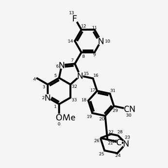 COC1=NC(C)=C2N=C(c3cncc(F)c3)N(Cc3ccc(C4CN5CCC4CC5)c(C#N)c3)C2C1